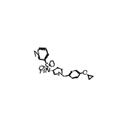 O=S(=O)(N[C@@H]1CCN(Cc2ccc(OC3CC3)cc2)C1)c1cccnc1